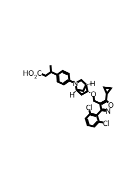 CC(CC(=O)O)c1ccc(N2C[C@@H]3C[C@H]2C[C@H]3OCc2c(-c3c(Cl)cccc3Cl)noc2C2CC2)cc1